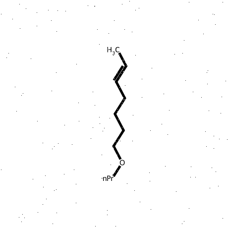 C/C=C/CCCCO[CH]CC